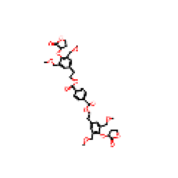 COCc1cc(CCOC(=O)c2ccc(C(=O)OCCc3cc(COC)c(OC4CCOC4=O)c(COC)c3)cc2)cc(COC)c1OC1CCOC1=O